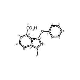 Cn1nc(Sc2ccccc2)c2c(C(=O)O)cccc21